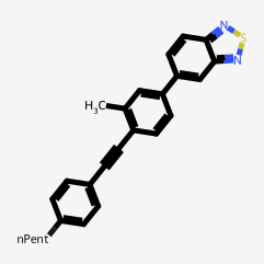 CCCCCc1ccc(C#Cc2ccc(-c3ccc4nsnc4c3)cc2C)cc1